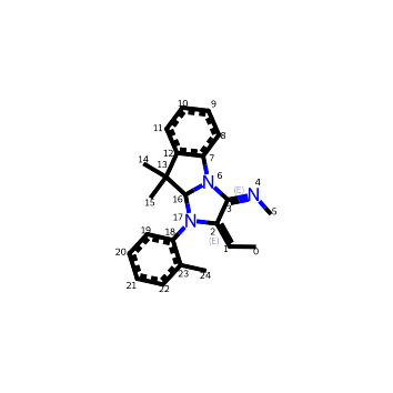 C/C=C1\C(=N/C)N2c3ccccc3C(C)(C)C2N1c1ccccc1C